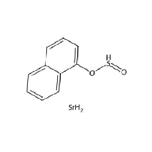 O=[SH]Oc1cccc2ccccc12.[SrH2]